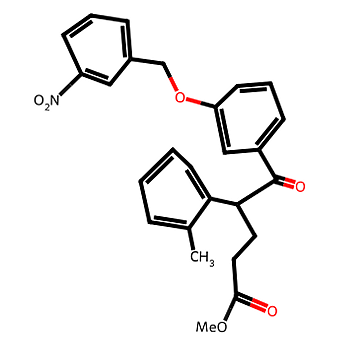 COC(=O)CCC(C(=O)c1cccc(OCc2cccc([N+](=O)[O-])c2)c1)c1ccccc1C